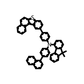 CC1(C)c2ccccc2-c2c(N(c3ccc(-c4ccc5sc6ccc7ccccc7c6c5c4)cc3)c3ccc(-c4cccc5ccccc45)cc3)cccc21